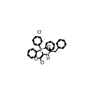 O=C(Cc1ccccc1)NC(=C(Cl)Cl)[P+](c1ccccc1)(c1ccccc1)c1ccccc1.[Cl-]